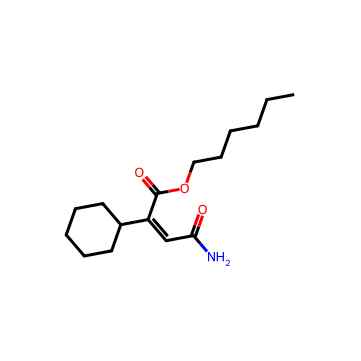 CCCCCCOC(=O)C(=CC(N)=O)C1CCCCC1